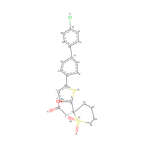 O=C(O)C[C@]1(c2ccc(-c3ccc(-c4ccc(Cl)cc4)cc3)s2)CCCCS1(=O)=O